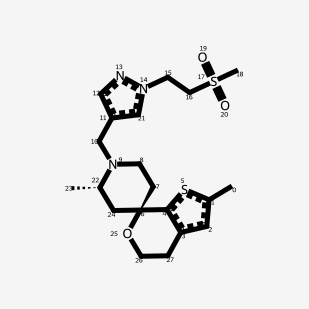 Cc1cc2c(s1)[C@]1(CCN(Cc3cnn(CCS(C)(=O)=O)c3)[C@@H](C)C1)OCC2